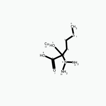 CSCCC(O)(C(=O)O)N(N)N.[Cu]